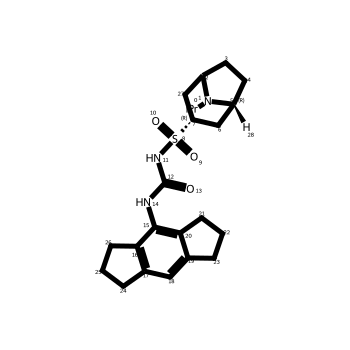 CC(C)N1C2CC[C@@H]1C[C@H](S(=O)(=O)NC(=O)Nc1c3c(cc4c1CCC4)CCC3)C2